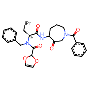 CC(C)C[C@@H](C(=O)NC1CCCN(C(=O)c2ccccc2)CC1=O)N(Cc1ccccc1)C(=O)C1OC=CO1